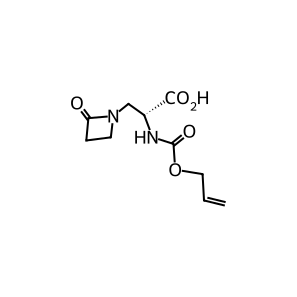 C=CCOC(=O)N[C@H](CN1CCC1=O)C(=O)O